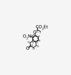 CCOC(=O)C(C)Oc1ccc2c(c1[N+](=O)[O-])CC(=O)CC2